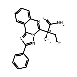 NC(=O)[C@](N)(CO)c1nc2ccccc2c2nc(-c3ccccc3)nn12